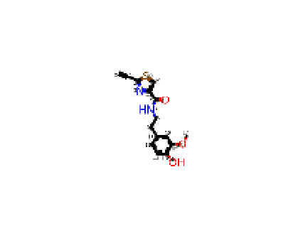 C#Cc1nc(C(=O)NCCc2ccc(O)c(OC)c2)cs1